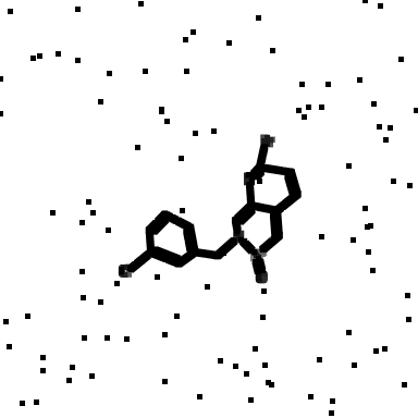 O=[n+]1cc2ccc(Br)nc2cn1Cc1cccc(Cl)c1